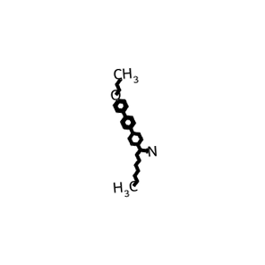 CCCCCCCC(C#N)C1CCC(c2ccc(-c3ccc(OCCCC)cc3)cc2)CC1